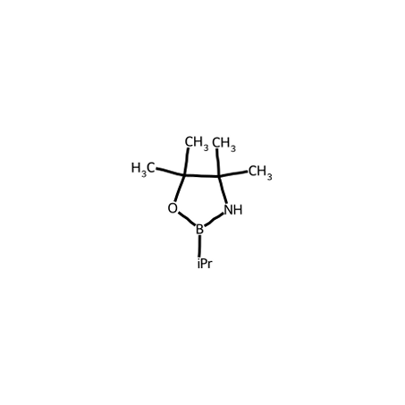 CC(C)B1NC(C)(C)C(C)(C)O1